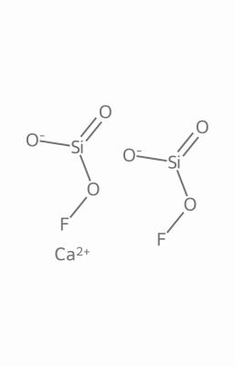 O=[Si]([O-])OF.O=[Si]([O-])OF.[Ca+2]